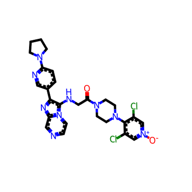 O=C(CNc1c(-c2ccc(N3CCCC3)nc2)nc2cnccn12)N1CCN(c2c(Cl)c[n+]([O-])cc2Cl)CC1